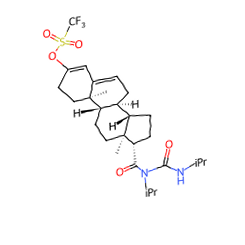 CC(C)NC(=O)N(C(=O)[C@H]1CC[C@H]2[C@@H]3CC=C4C=C(OS(=O)(=O)C(F)(F)F)CC[C@]4(C)[C@H]3CC[C@]12C)C(C)C